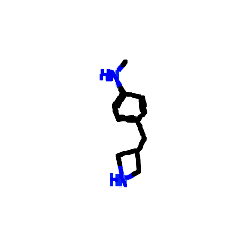 CNc1ccc(CC2CNC2)cc1